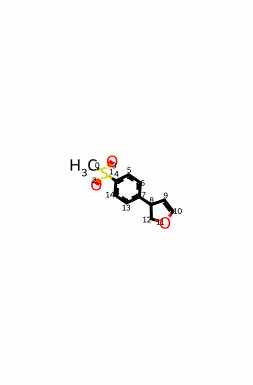 CS(=O)(=O)c1ccc(C2C=COC2)cc1